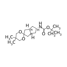 CC1(C)COC2(C[C@H]3C[C@H](NC(=O)OC(C)(C)C)C[C@H]3C2)OC1